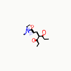 CCC(=O)C(=C/C=C1\OCCN1C)C(=O)CC